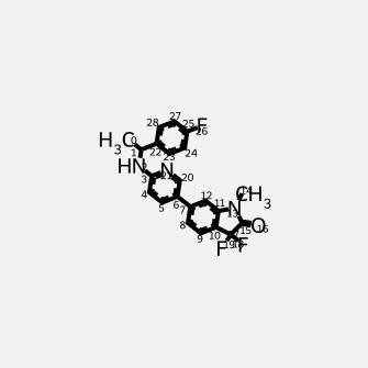 CC(Nc1ccc(-c2ccc3c(c2)N(C)C(=O)C3(F)F)cn1)c1ccc(F)cc1